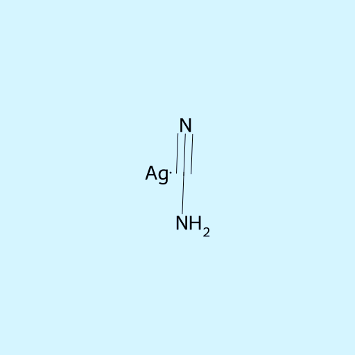 N#CN.[Ag]